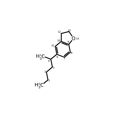 CCCCC(C)c1ccc2c(c1)CCO2